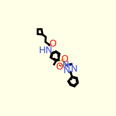 Cc1cc(NC(=O)CCC2CCC2)ccc1S(=O)(=O)n1cnc(-c2ccccc2)n1